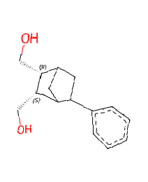 OC[C@@H]1C2CC(c3ccccc3)C(C2)[C@@H]1CO